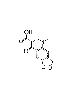 CCn1cc(C(=O)O)c(=O)c2cc3c(cc21)COO3